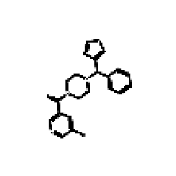 O=C(c1cncc(Br)c1)N1CCN(C(c2ccccc2)c2ccsc2)CC1